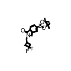 CC1(C)OB(c2ccc3c(c2)CN(CC2CC(F)(F)C2)C3=O)OC1(C)C